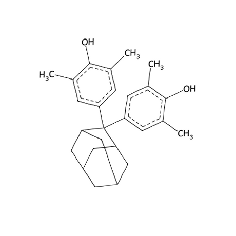 Cc1cc(C2(c3cc(C)c(O)c(C)c3)C3CC4CC(C3)CC2C4)cc(C)c1O